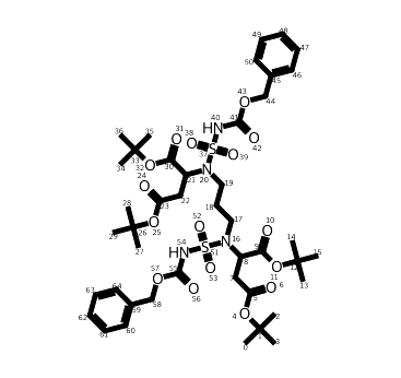 CC(C)(C)OC(=O)CC(C(=O)OC(C)(C)C)N(CCCN(C(CC(=O)OC(C)(C)C)C(=O)OC(C)(C)C)S(=O)(=O)NC(=O)OCc1ccccc1)S(=O)(=O)NC(=O)OCc1ccccc1